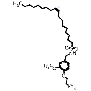 CCCCCCCC/C=C\CCCCCCCCS(=O)(=O)NCc1ccc(OCCN)c(OC)c1